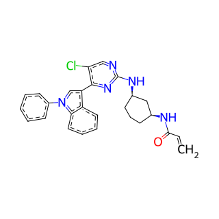 C=CC(=O)N[C@H]1CCC[C@@H](Nc2ncc(Cl)c(-c3cn(-c4ccccc4)c4ccccc34)n2)C1